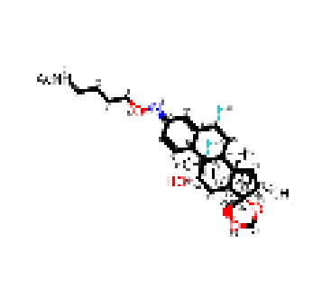 CC(=O)NCCCCO/N=C1\C=C[C@@]2(C)C(=C1)[C@@H](F)C[C@H]1[C@@H]3C[C@H](C)[C@@]4(OCOC45COCO5)[C@@]3(C)C[C@H](O)[C@@]12F